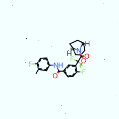 COC1C[C@H]2CC[C@@H](C1)N2C(=O)C(F)(F)c1cc(C(=O)Nc2ccc(F)c(C)c2)ccc1F